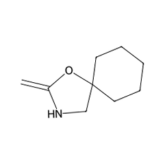 C=C1NCC2(CCCCC2)O1